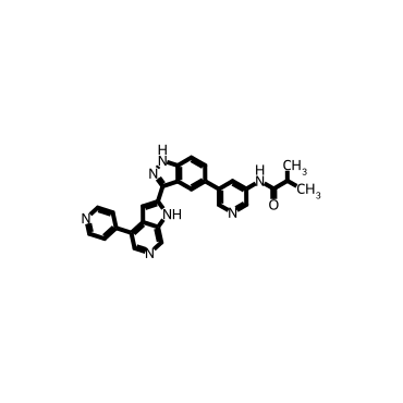 CC(C)C(=O)Nc1cncc(-c2ccc3[nH]nc(-c4cc5c(-c6ccncc6)cncc5[nH]4)c3c2)c1